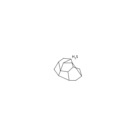 C1C2CC3C4CC5CC(C14)C(C2)C3C5.S